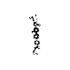 CCOC(=O)C(=O)N1CCN(c2ncc(-c3ccc(N4C[C@H](CNC(C)=O)OC4=O)cc3F)cn2)CC1